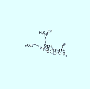 C#CCN(C)CCCCCCO[Si](C)(C)OC(CCCCCCC/C=C\CCCCCCCC)OC1CCC2(C)C(=CCC3C2CCC2(C)C(C(C)CCCC(C)C)CCC32)C1